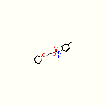 Cc1ccc(NC(=O)OCCOC2CCCCC2)cc1